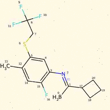 B/C(=N\c1cc(SCC(F)(F)F)c(C)cc1F)C1CCC1